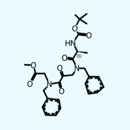 COC(=O)CN(Cc1ccccc1)C(=O)C(=O)CN(Cc1ccccc1)C(=O)[C@H](C)NC(=O)OC(C)(C)C